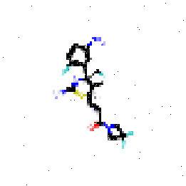 CC1[C@@](C)(/C=C/C(=O)N2CC(F)(F)C2)SC(N)=N[C@]1(CF)c1cc(N)ccc1F